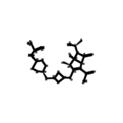 C[C@@H](O)[C@H]1C(=O)N2C(C(=O)O)=C(SC3CN(C[C@H]4CC[C@H](NC(=N)N)CC4)C3)[C@H](C)[C@H]12